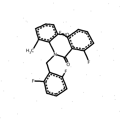 Cc1cccc([N+](=O)[O-])c1N(Cc1c(F)cccc1F)C(=O)c1c(F)cccc1F